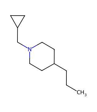 CCCC1CCN(CC2CC2)CC1